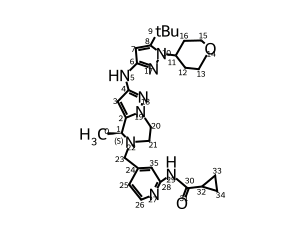 C[C@H]1c2cc(Nc3cc(C(C)(C)C)n(C4CCOCC4)n3)nn2CCN1Cc1ccnc(NC(=O)C2CC2)c1